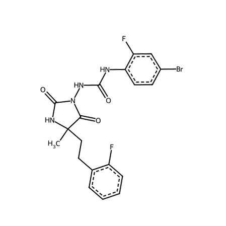 CC1(CCc2ccccc2F)NC(=O)N(NC(=O)Nc2ccc(Br)cc2F)C1=O